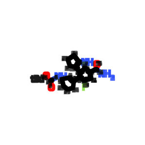 CC(C)(C)OC(=O)N[C@@H]1C=C(c2c(F)cc(C(N)=O)c3[nH]c4c(c23)CCC4)CCC1